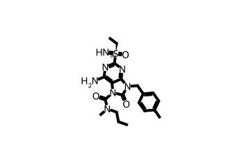 CCCN(C)C(=O)n1c(=O)n(Cc2ccc(C)cc2)c2nc([S@](=N)(=O)CC)nc(N)c21